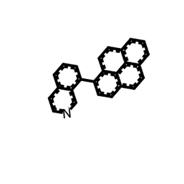 c1cc(-c2ccc3ccc4cccc5ccc2c3c45)c2cnccc2c1